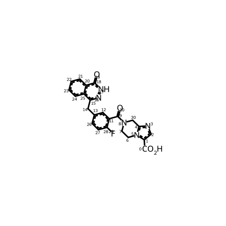 O=C(O)c1cnc2n1CCN(C(=O)c1cc(Cc3n[nH]c(=O)c4ccccc34)ccc1F)C2